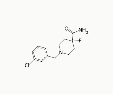 NC(=O)C1(F)CCN(Cc2cccc(Cl)c2)CC1